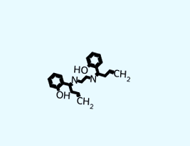 C=CCC(=NCCN=C(CC=C)c1ccccc1O)c1ccccc1O